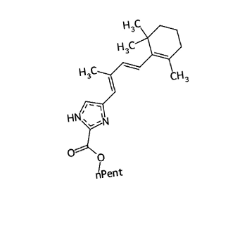 CCCCCOC(=O)c1nc(C=C(C)C=CC2=C(C)CCCC2(C)C)c[nH]1